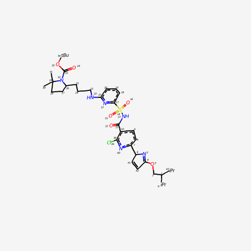 CC(C)C(COC1=NC(c2ccc(C(=O)NS(=O)(=O)c3cccc(NCCCC4CCC(C)(C)N4C(=O)OC(C)(C)C)n3)c(Cl)n2)C=C1)C(C)C